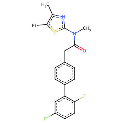 CCc1sc(N(C)C(=O)Cc2ccc(-c3cc(F)ccc3F)cc2)nc1C